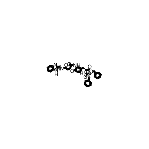 O=C(CC1Oc2ccc(C[C@H](NS(=O)(=O)Cc3ccccc3)C(=O)OCc3ccccc3)cc2NC1=O)NCc1nc2ccccc2[nH]1